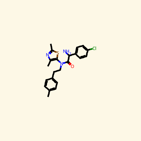 Cc1ccc(CCN(C(=O)C(N)c2ccc(Cl)cc2)c2sc(C)nc2C)cc1